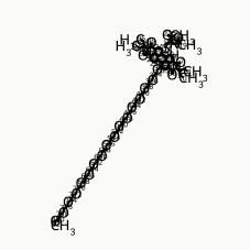 CCC(CC)N1C(=O)c2ccc3c4c(SCC(NC(C)=O)C(C)=O)cc5c6c(ccc(c7c(OCCOCCOCCOCCOCCOCCOCCOCCOCCOCCOCCOCCOCCOCCOCCOCCOC)cc(c2c37)C1=O)c64)C(=O)N(C(CC)CC)C5=O